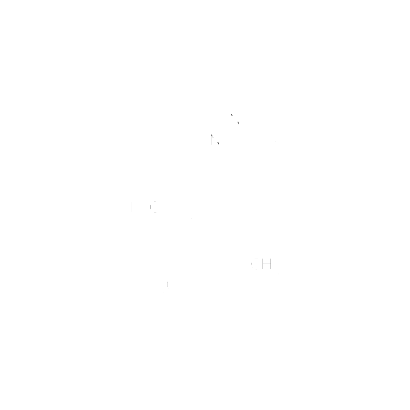 CC(C)C(C)c1[c]c[nH]n1